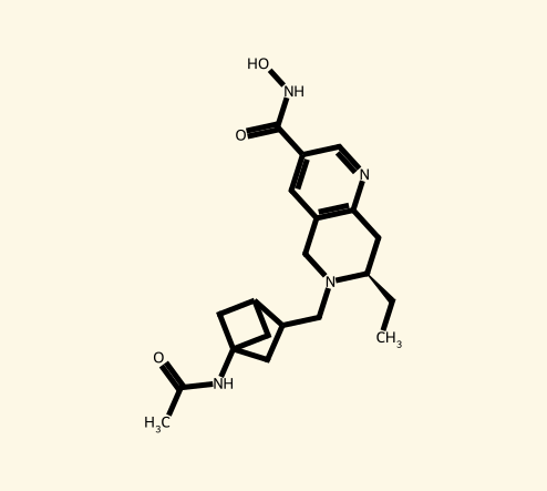 CC[C@@H]1Cc2ncc(C(=O)NO)cc2CN1CC1CC2(NC(C)=O)CC1C2